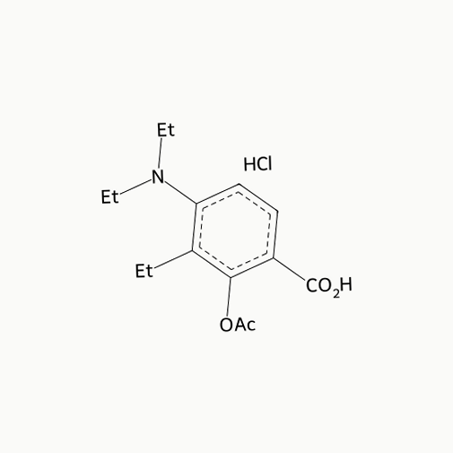 CCc1c(N(CC)CC)ccc(C(=O)O)c1OC(C)=O.Cl